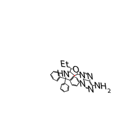 CC[C@H]1O[C@@H](n2cnc3c(N)ncnc32)C[C@H]1NC(c1ccccc1)(c1ccccc1)c1ccccc1